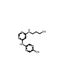 N#Cc1cnc(Nc2cc(NCCCO)ncn2)cn1